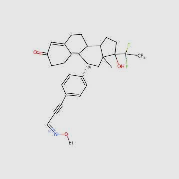 CCO/N=C\C#Cc1ccc([C@H]2CC3(C)C(CCC3(O)C(F)(F)C(F)(F)F)C3CCC4=CC(=O)CCC4=C32)cc1